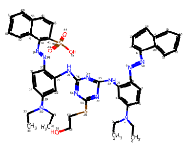 CCN(CC)c1ccc(/N=N/c2cccc3ccccc23)c(Nc2nc(Nc3cc(N(CC)CC)ccc3/N=N/c3c(S(=O)(=O)O)ccc4ccccc34)nc(SCCO)n2)c1